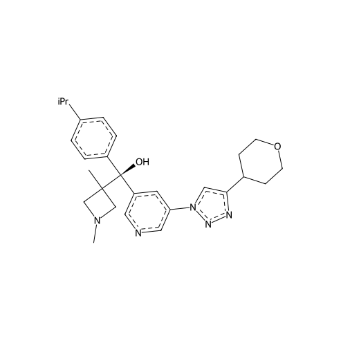 CC(C)c1ccc([C@](O)(c2cncc(-n3cc(C4CCOCC4)nn3)c2)C2(C)CN(C)C2)cc1